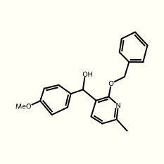 COc1ccc(C(O)c2ccc(C)nc2OCc2ccccc2)cc1